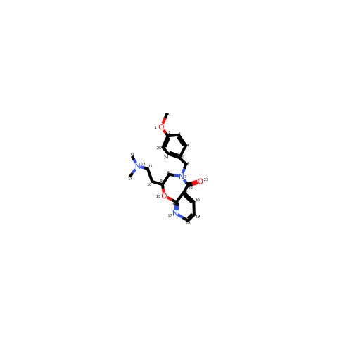 COc1ccc(CN2CC(CCN(C)C)Oc3ncccc3C2=O)cc1